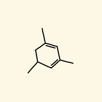 CC1=CC(C)=CC(C)[CH]1